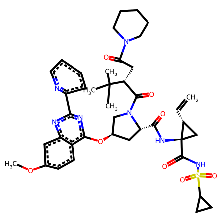 C=C[C@@H]1C[C@]1(NC(=O)[C@@H]1C[C@@H](Oc2nc(-c3ccccn3)nc3cc(OC)ccc23)CN1C(=O)[C@@H](CC(=O)N1CCCCC1)C(C)(C)C)C(=O)NS(=O)(=O)C1CC1